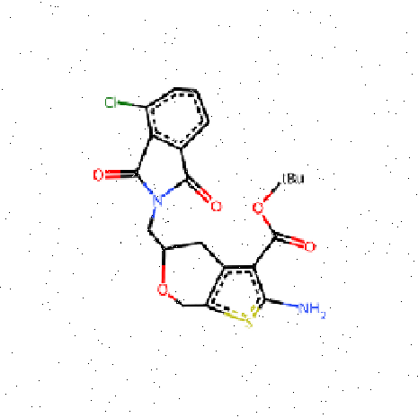 CC(C)(C)OC(=O)c1c(N)sc2c1CC(CN1C(=O)c3cccc(Cl)c3C1=O)OC2